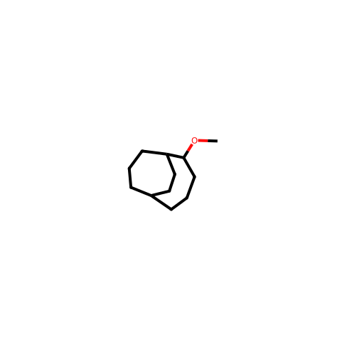 COC1CCCC2CCCC1CC2